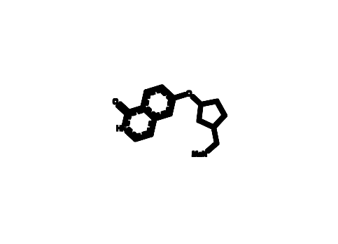 CNCC1CCC(Oc2ccc3c(=O)[nH]ccc3c2)C1